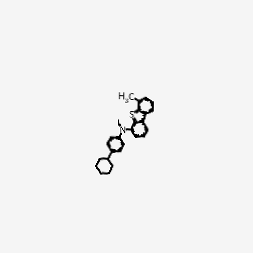 Cc1cccc2c1sc1c(N(I)c3ccc(C4CCCCC4)cc3)cccc12